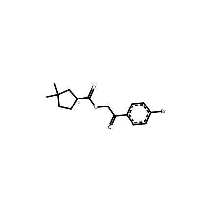 CC1(C)CC[C@H](C(=O)OCC(=O)c2ccc(Br)cc2)C1